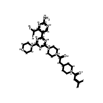 CC(C)=CC(=O)N1CCC(CC(=O)N2CCN(c3nc(-c4cnc(N)nc4C(F)F)nc(N4CCOCC4)n3)CC2)CC1